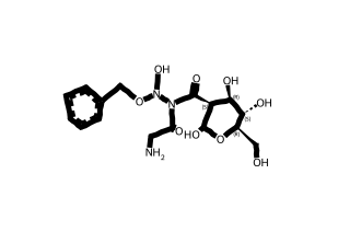 NCC(=O)N(C(=O)[C@@H]1C(O)O[C@H](CO)[C@@H](O)[C@@H]1O)N(O)OCc1ccccc1